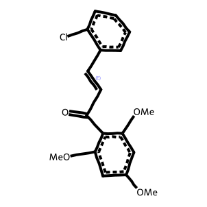 COc1cc(OC)c(C(=O)/C=C/c2ccccc2Cl)c(OC)c1